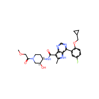 COCC(=O)N1CC[C@@H](NC(=O)c2c(C)[nH]c3c(-c4cc(F)ccc4OCC4CC4)ncnc23)[C@@H](O)C1